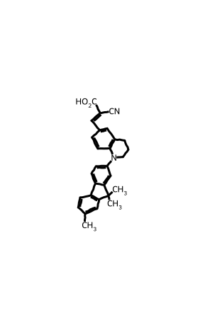 Cc1ccc2c(c1)C(C)(C)c1cc(N3CCCc4cc(/C=C(\C#N)C(=O)O)ccc43)ccc1-2